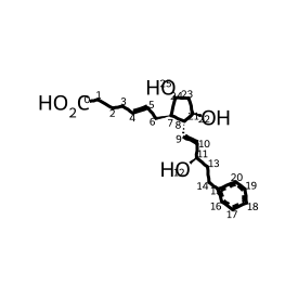 O=C(O)CCCC=CC[C@@H]1[C@@H](C=C[C@H](O)CCc2ccccc2)[C@H](O)C[C@@H]1O